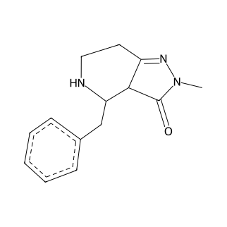 CN1N=C2CCNC(Cc3ccccc3)C2C1=O